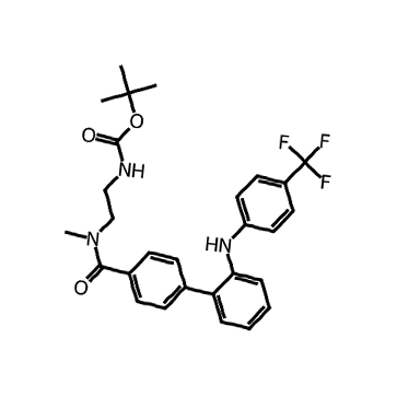 CN(CCNC(=O)OC(C)(C)C)C(=O)c1ccc(-c2ccccc2Nc2ccc(C(F)(F)F)cc2)cc1